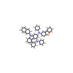 c1ccc(N(c2ccc3oc4ccccc4c3c2)c2cc(N(c3ccccc3)c3ccccc3)c3c4ccccc4n(-c4ccc5ccccc5c4)c3c2)cc1